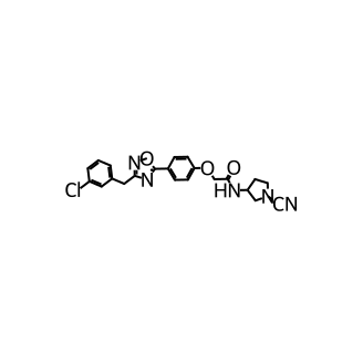 N#CN1CCC(NC(=O)COc2ccc(-c3nc(Cc4cccc(Cl)c4)no3)cc2)C1